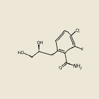 NC(=O)c1c([CH][C@H](O)CO)ccc(Cl)c1F